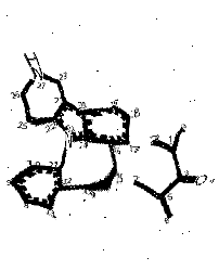 CC(C)C(=O)C(C)C.c1ccc2c(c1)CCc1cccc3c4c(n-2c13)CCNC4